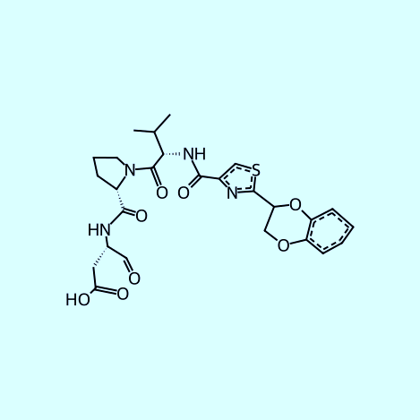 CC(C)[C@H](NC(=O)c1csc(C2COc3ccccc3O2)n1)C(=O)N1CCC[C@H]1C(=O)N[C@H](C=O)CC(=O)O